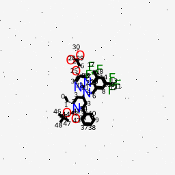 CC[C@@H]1C[C@H](N(Cc2cc(C(F)(F)F)cc(C(F)(F)F)c2)c2ncc(OCC(=O)OC)cn2)CC(c2ccccc2)N1C(=O)OC(C)(C)C